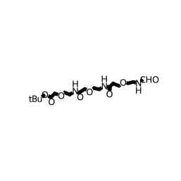 CC(C)(C)OC(=O)COCCNC(=O)COCCNC(=O)CCOCCNC=O